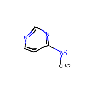 O=[C]Nc1ccncn1